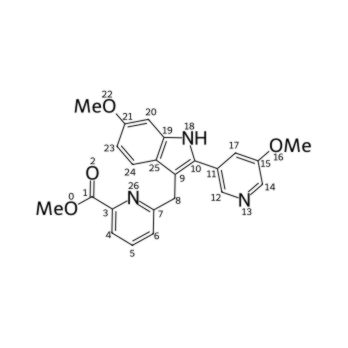 COC(=O)c1cccc(Cc2c(-c3cncc(OC)c3)[nH]c3cc(OC)ccc23)n1